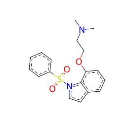 CN(C)CCOc1cccc2ccn(S(=O)(=O)c3ccccc3)c12